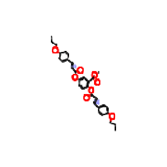 CCCOc1ccc(/C=C/C(=O)Oc2ccc(OC(=O)/C=C/c3ccc(OCCC)cc3)c(C(=O)OC)c2)cc1